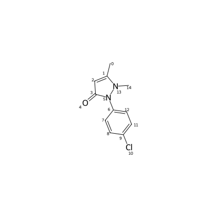 Cc1cc(=O)n(-c2ccc(Cl)cc2)n1C